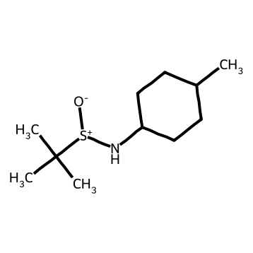 CC1CCC(N[S+]([O-])C(C)(C)C)CC1